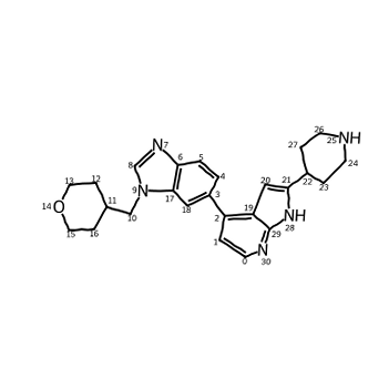 c1cc(-c2ccc3ncn(CC4CCOCC4)c3c2)c2cc(C3CCNCC3)[nH]c2n1